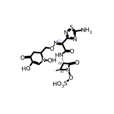 [CH2][C@H]1[C@H](NC(=O)/C(=N\OCC2CC(=O)C(O)=CN2O)c2nsc(N)n2)C(=O)N1OS(=O)(=O)O